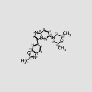 Cc1nc2ccc(-c3cnc4ccc(N5C[C@@H](C)O[C@@H](C)C5)nn34)cc2o1